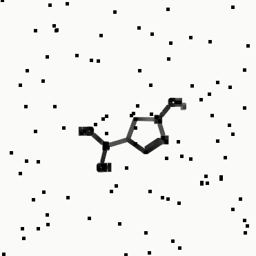 CN1CC(B(O)O)C=N1